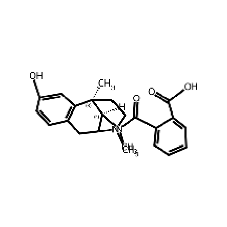 CN1CC[C@]2(C)c3cc(O)ccc3CC1[C@@H]2N(C)C(=O)c1ccccc1C(=O)O